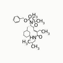 CC/C(=C\C1OC(C)(C)N(C(=O)OCc2ccccc2)[C@H]1CC1CCCCC1)C(=O)NCC(C)C